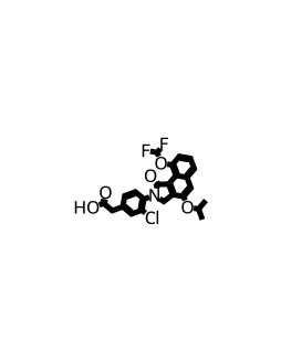 CC(C)Oc1cc2cccc(OC(F)F)c2c2c1CN(c1ccc(CC(=O)O)cc1Cl)C2=O